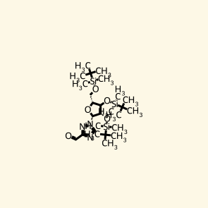 CC(C)(C)[Si](C)(C)OC[C@H]1O[C@@H](n2cnc(C=O)n2)[C@@H](O[Si](C)(C)C(C)(C)C)C1O[Si](C)(C)C(C)(C)C